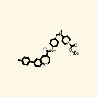 Cc1ccc(-c2ccc3c(c2)C=C(C(=O)N[C@H]2CC[C@H](CN(C)C4CCN(C(=O)OC(C)(C)C)CC4)CC2)CCO3)cc1